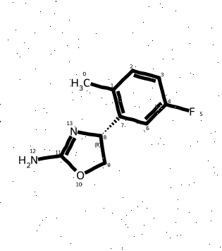 Cc1ccc(F)cc1[C@@H]1COC(N)=N1